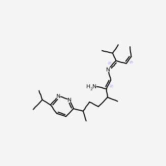 C\C=C/C(=N\C=C(/N)C(C)CCC(C)c1ccc(C(C)C)nn1)C(C)C